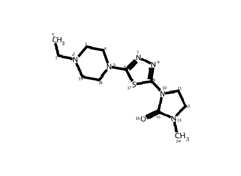 CCN1CCN(c2nnc(N3CCN(C)C3=O)s2)CC1